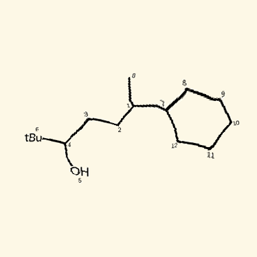 CC(CCC(O)C(C)(C)C)C1CCCCC1